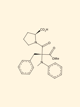 COC(=O)[C@@](Cc1ccccc1)(C(=O)N1CCC[C@H]1C(=O)O)N(C)c1ccccc1